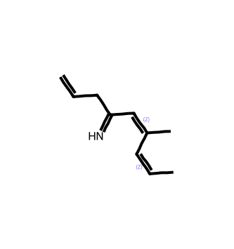 C=CCC(=N)/C=C(C)\C=C/C